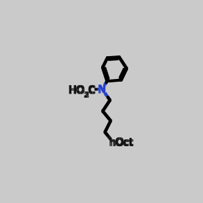 CCCCCCCCCCCCN(C(=O)O)c1ccccc1